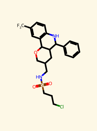 O=S(=O)(CCCCl)NCC1COC2c3cc(C(F)(F)F)ccc3NC(c3ccccc3)C2C1